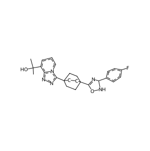 CC(C)(O)c1cccn2c(C34CCC(C5=NC(c6ccc(F)cc6)NO5)(CC3)CC4)nnc12